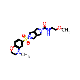 COCCNC(=O)N1CC2=C(C1)CN(S(=O)(=O)c1ccc3c(c1)N(C)CCO3)C2